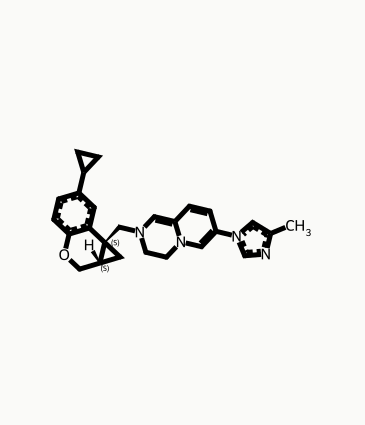 Cc1cn(C2=CN3CCN(C[C@@]45C[C@@H]4COc4ccc(C6CC6)cc45)C=C3C=C2)cn1